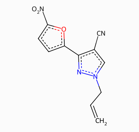 C=CCn1cc(C#N)c(-c2ccc([N+](=O)[O-])o2)n1